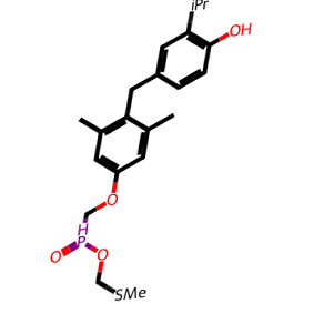 CSCO[PH](=O)COc1cc(C)c(Cc2ccc(O)c(C(C)C)c2)c(C)c1